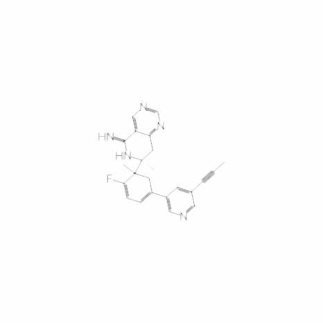 CC#Cc1cncc(C2=CC=C(F)C(C)([C@]3(C)Cc4ncncc4C(=N)N3)C2)c1